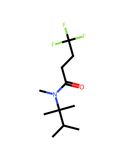 CC(C)C(C)(C)N(C)C(=O)CCC(F)(F)F